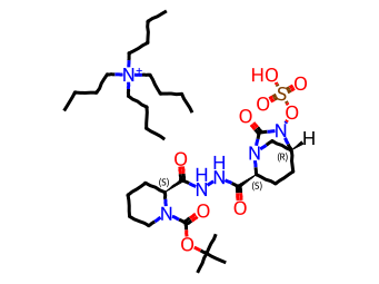 CC(C)(C)OC(=O)N1CCCC[C@H]1C(=O)NNC(=O)[C@@H]1CC[C@@H]2CN1C(=O)N2OS(=O)(=O)O.CCCC[N+](CCCC)(CCCC)CCCC